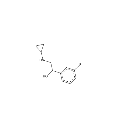 OC(CNC1CC1)c1cccc(F)c1